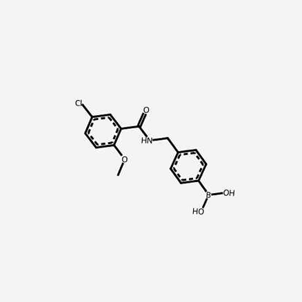 COc1ccc(Cl)cc1C(=O)NCc1ccc(B(O)O)cc1